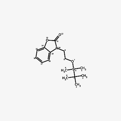 CC(C)(C)[Si](C)(C)OCCn1c(=O)oc2ccccc21